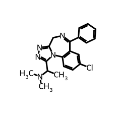 CC(c1nnc2n1-c1ccc(Cl)cc1C(c1ccccc1)=NC2)N(C)C